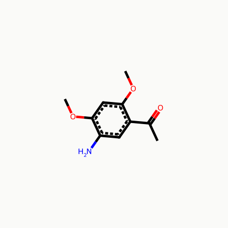 COc1cc(OC)c(C(C)=O)cc1N